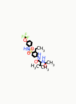 CCc1cc(NC(=O)C(NC(C)=O)C(C)C)ccc1S(=O)(=O)Nc1cccc(OC(F)(F)F)c1